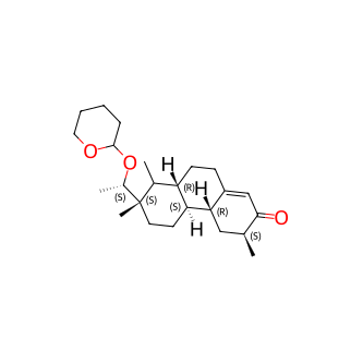 CC1[C@@H]2CCC3=CC(=O)[C@@H](C)C[C@@H]3[C@H]2CC[C@]1(C)[C@H](C)OC1CCCCO1